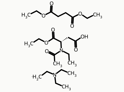 CCOC(=O)CCC(=O)OCC.CCOC(=O)[C@H](CC(=O)O)N(CC)C(C)=O.[CH2]CN(CC)CC